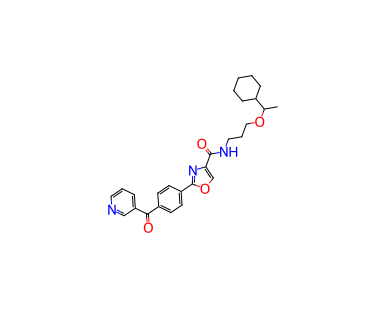 CC(OCCCNC(=O)c1coc(-c2ccc(C(=O)c3cccnc3)cc2)n1)C1CCCCC1